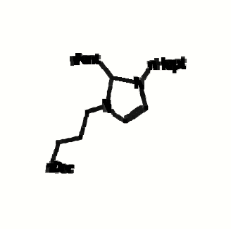 CCCCCCCCCCCCCN1C=CN(CCCCCCC)C1CCCCC